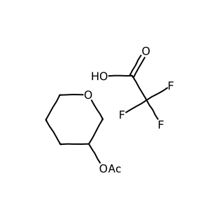 CC(=O)OC1CCCOC1.O=C(O)C(F)(F)F